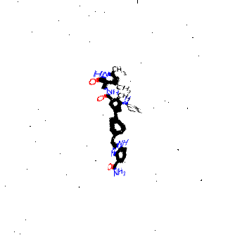 CCNc1cc(-c2ccc(Cc3nc4c(C(N)=O)cccc4[nH]3)cc2)cc(C(=O)NCc2c(C)cc(C)[nH]c2=O)c1C